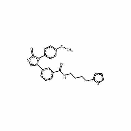 COc1ccc(-n2c(-c3cccc(C(=O)NCCCCc4cccs4)c3)csc2=O)cc1